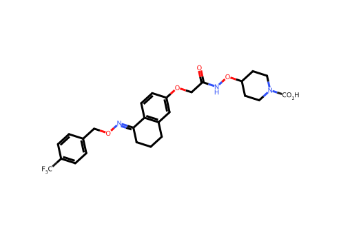 O=C(COc1ccc2c(c1)CCCC2=NOCc1ccc(C(F)(F)F)cc1)NOC1CCN(C(=O)O)CC1